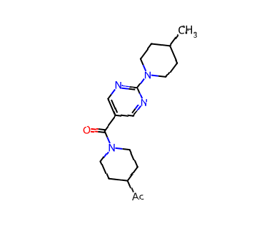 CC(=O)C1CCN(C(=O)c2cnc(N3CCC(C)CC3)nc2)CC1